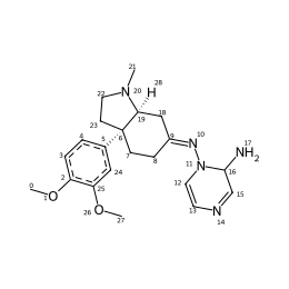 COc1ccc([C@@]23CCC(=NN4C=CN=CC4N)C[C@@H]2N(C)CC3)cc1OC